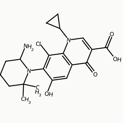 CC1(C)CCCC(N)N1c1c(O)cc2c(=O)c(C(=O)O)cn(C3CC3)c2c1Cl